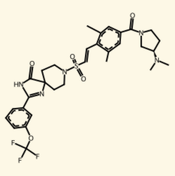 Cc1cc(C(=O)N2CC[C@@H](N(C)C)C2)cc(C)c1C=CS(=O)(=O)N1CCC2(CC1)N=C(c1cccc(OC(F)(F)F)c1)NC2=O